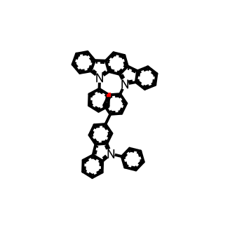 c1ccc(-n2c3ccccc3c3ccc(-c4ccc(-n5c6ccccc6c6ccc7c8ccccc8n(-c8ccccc8)c7c65)cc4)cc32)cc1